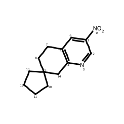 O=[N+]([O-])c1cnc2c(c1)CCC1(CCCC1)C2